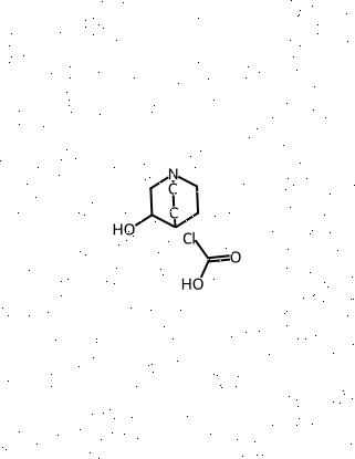 O=C(O)Cl.OC1CN2CCC1CC2